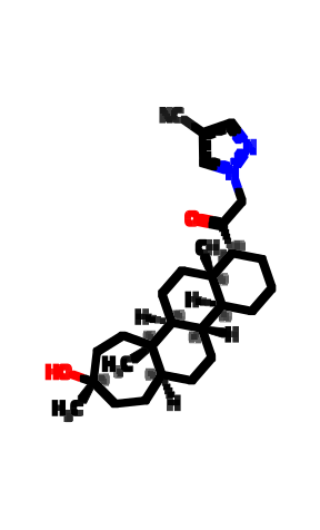 C[C@]1(O)CC[C@@H]2CC[C@@H]3[C@H](CC[C@]4(C)[C@H](C(=O)Cn5cc(C#N)cn5)CCC[C@@H]34)[C@@]2(C)CC1